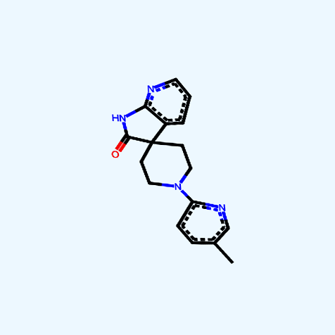 Cc1ccc(N2CCC3(CC2)C(=O)Nc2ncccc23)nc1